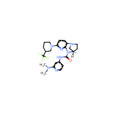 CN(C)c1cc(NC(=O)N2c3nc(N4CCCC(C(F)(F)F)C4)ccc3N3CC[C@H]2C3)ccn1